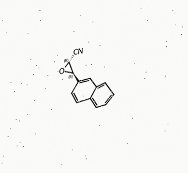 N#C[C@H]1O[C@@H]1c1ccc2ccccc2c1